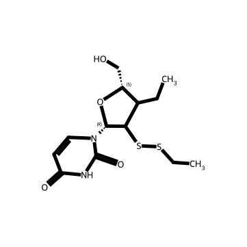 CCSSC1C(CC)[C@@H](CO)O[C@H]1n1ccc(=O)[nH]c1=O